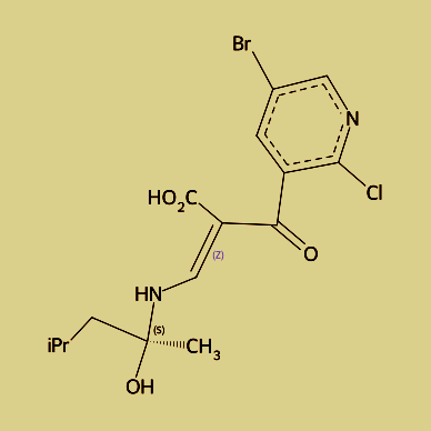 CC(C)C[C@](C)(O)N/C=C(\C(=O)O)C(=O)c1cc(Br)cnc1Cl